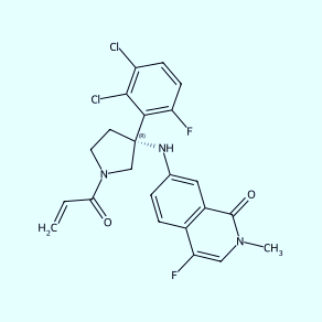 C=CC(=O)N1CC[C@@](Nc2ccc3c(F)cn(C)c(=O)c3c2)(c2c(F)ccc(Cl)c2Cl)C1